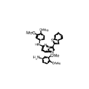 COc1ccc(N)cc1OC.COc1ccc(Nc2ccc3ncc(-c4cc5ccccc5s4)n3n2)cc1OC